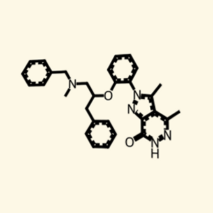 Cc1n[nH]c(=O)c2nn(-c3ccccc3OC(Cc3ccccc3)CN(C)Cc3ccccc3)c(C)c12